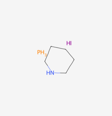 C1CCNCC1.I.P